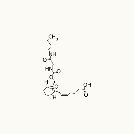 CCCCNC(=O)CNC(=O)OC[C@H]1[C@@H](C/C=C\CCCC(=O)O)[C@H]2CC[C@@H]1C2=O